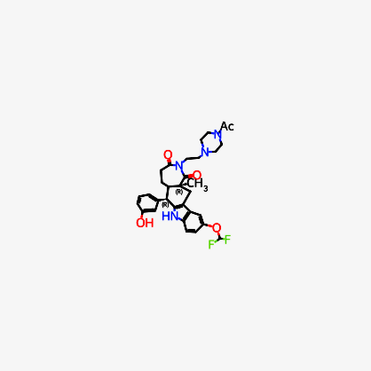 CC(=O)N1CCN(CCN2C(=O)CCC3[C@H](c4cccc(O)c4)c4[nH]c5ccc(OC(F)F)cc5c4C[C@@]3(C)C2=O)CC1